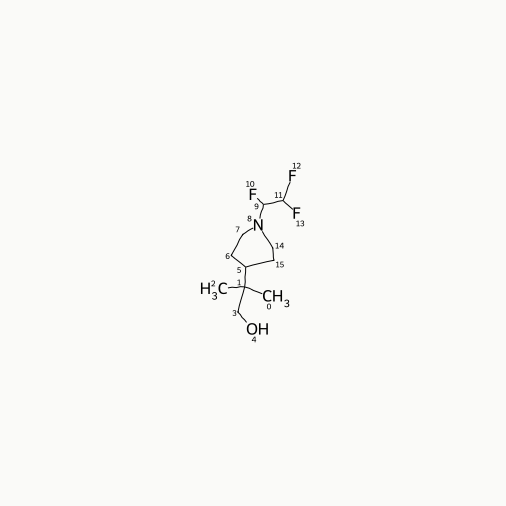 CC(C)(CO)C1CCN(C(F)C(F)F)CC1